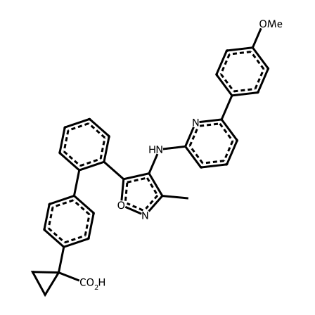 COc1ccc(-c2cccc(Nc3c(C)noc3-c3ccccc3-c3ccc(C4(C(=O)O)CC4)cc3)n2)cc1